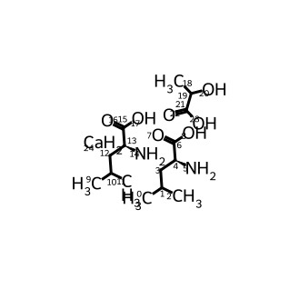 CC(C)C[C@H](N)C(=O)O.CC(C)C[C@H](N)C(=O)O.CC(O)C(=O)O.[CaH2]